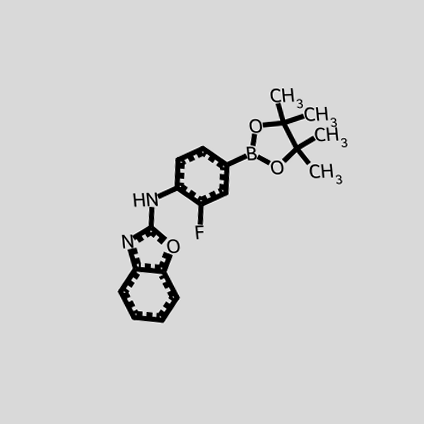 CC1(C)OB(c2ccc(Nc3nc4ccccc4o3)c(F)c2)OC1(C)C